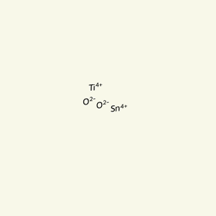 [O-2].[O-2].[Sn+4].[Ti+4]